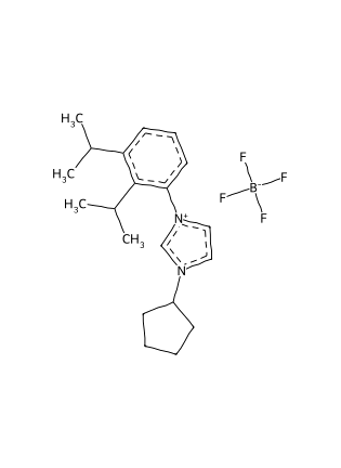 CC(C)c1cccc(-[n+]2ccn(C3CCCC3)c2)c1C(C)C.F[B-](F)(F)F